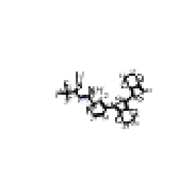 N=C(/C=C(\N)c1cc(-c2sc(-c3scc4c3OCCO4)c3c2OCCO3)ccn1)C(F)(F)F